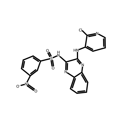 O=[N+]([O-])c1cccc(S(=O)(=O)Nc2nc3ccccc3nc2Nc2cccnc2Cl)c1